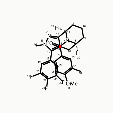 COc1ncc(C(=O)N2[C@H]3CCC[C@@H]2c2nn(C)c(-c4cc(F)c(F)c(F)c4)c2C3)cc1C